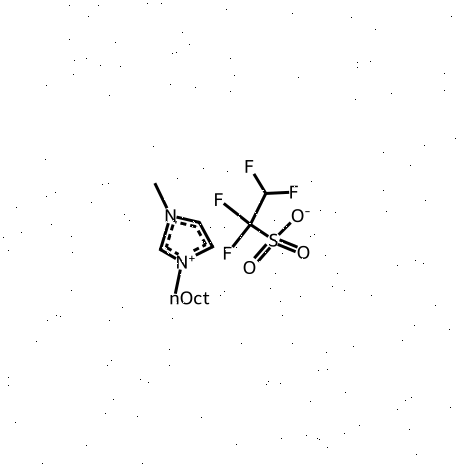 CCCCCCCC[n+]1ccn(C)c1.O=S(=O)([O-])C(F)(F)C(F)F